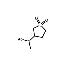 CC(=O)N(C)C1CCS(=O)(=O)C1